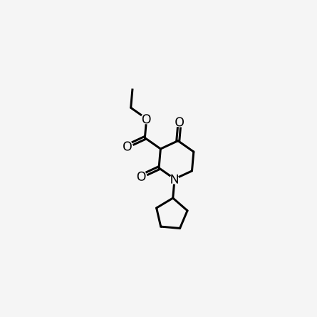 CCOC(=O)C1C(=O)CCN(C2CCCC2)C1=O